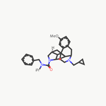 COc1ccc2c(c1)C13CCN(CC4CC4)C(C2)C12CCC1C3[C@@H](CN1C(=O)N(Cc1ccccc1)C(C)C)C2